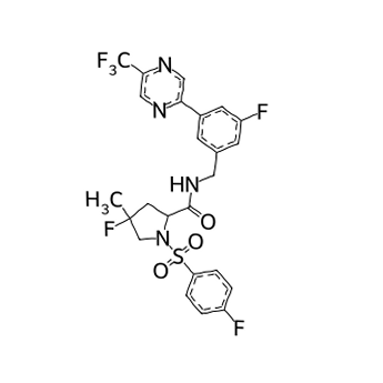 CC1(F)CC(C(=O)NCc2cc(F)cc(-c3cnc(C(F)(F)F)cn3)c2)N(S(=O)(=O)c2ccc(F)cc2)C1